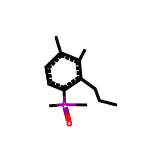 CCCc1c(P(C)(C)=O)ccc(C)c1C